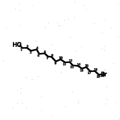 OCCCCCCCCCCCCCCCCCCCBr